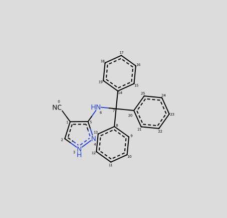 N#Cc1c[nH]nc1NC(c1ccccc1)(c1ccccc1)c1ccccc1